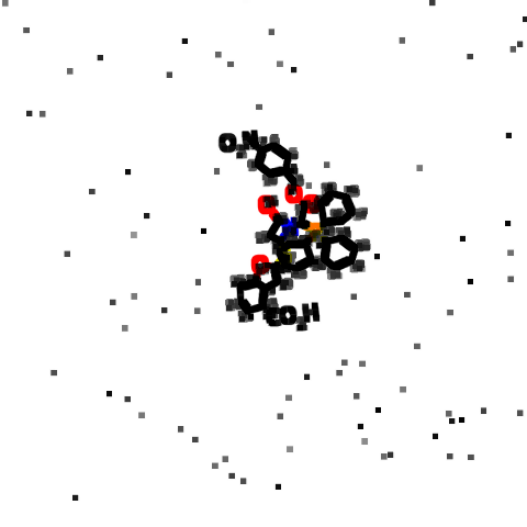 O=C(OCc1ccc([N+](=O)[O-])cc1)C(N1C(=O)CC1Sc1cc2c(C(=O)O)cccc2o1)=P(c1ccccc1)(c1ccccc1)c1ccccc1